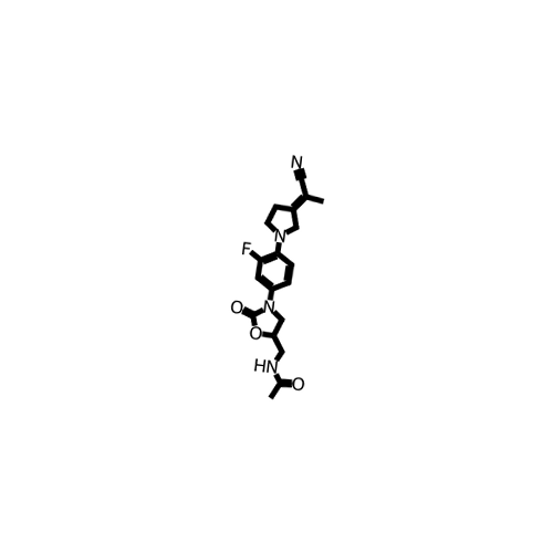 CC(=O)NCC1CN(c2ccc(N3CCC(=C(C)C#N)C3)c(F)c2)C(=O)O1